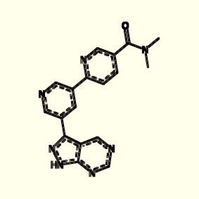 CN(C)C(=O)c1ccc(-c2cncc(-c3n[nH]c4ncncc34)c2)nc1